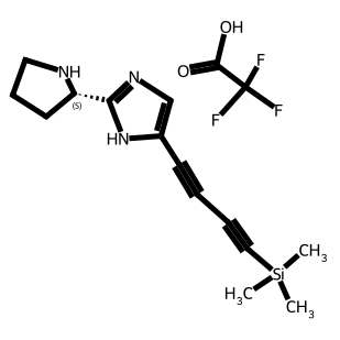 C[Si](C)(C)C#CC#Cc1cnc([C@@H]2CCCN2)[nH]1.O=C(O)C(F)(F)F